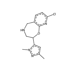 Cc1cc(C2CNCc3ccc(Cl)nc3O2)n(C)n1